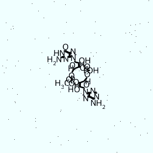 COP1(=O)OC[C@H]2O[C@@H](n3cnc4c(=O)[nH]c(N)nc43)[C@H](O)[C@@H]2OP(=O)(O)OC[C@H]2O[C@@H](n3cnc4c(N)ncnc43)[C@H](O)[C@@H]2O1